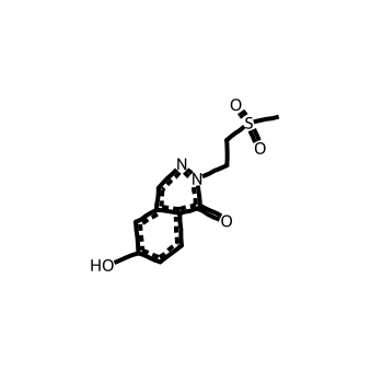 CS(=O)(=O)CCn1ncc2cc(O)ccc2c1=O